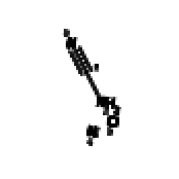 N#CN.[C].[N]